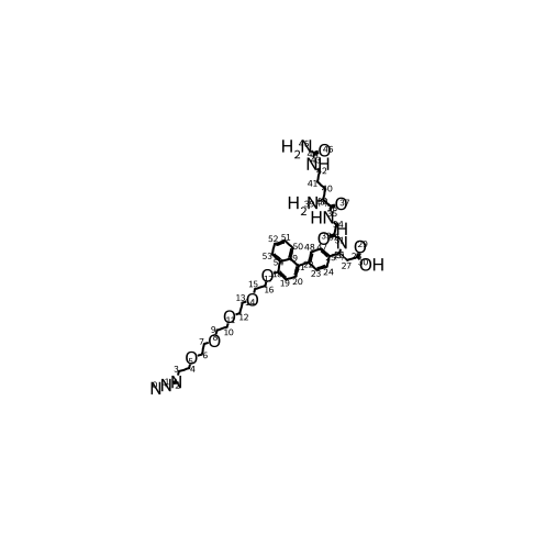 [N-]=[N+]=NCCOCCOCCOCCOCCOc1ccc(-c2ccc([C@H](CC(=O)O)NC(=O)CNC(=O)[C@@H](N)CCCNC(N)=O)cc2)c2ccccc12